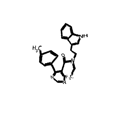 Cc1ccc(-c2ncncc2C(=O)N(CCc2c[nH]c3ccccc23)CC(F)(F)F)cc1